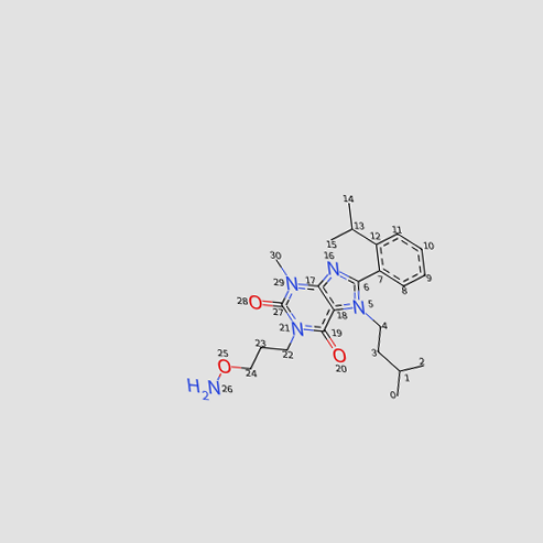 CC(C)CCn1c(-c2ccccc2C(C)C)nc2c1c(=O)n(CCCON)c(=O)n2C